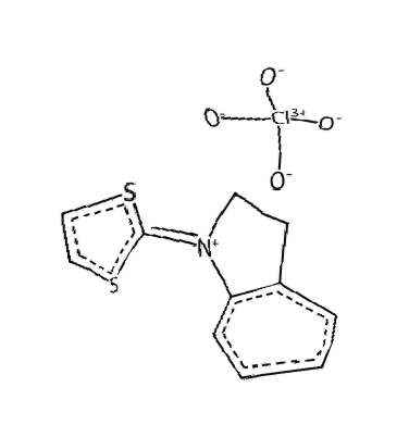 [O-][Cl+3]([O-])([O-])[O-].c1ccc2c(c1)CC[N+]2=c1sccs1